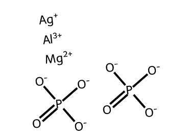 O=P([O-])([O-])[O-].O=P([O-])([O-])[O-].[Ag+].[Al+3].[Mg+2]